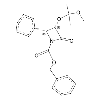 COC(C)(C)O[C@@H]1C(=O)N(C(=O)OCc2ccccc2)[C@@H]1c1ccccc1